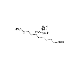 CCCCCCCCCCCCCCCCCCOS(=O)(=O)O.O=S(=O)(O)O.[NaH].[NaH]